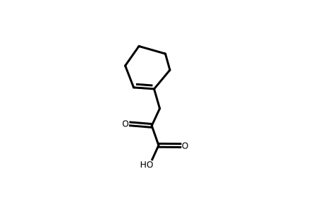 O=C(O)C(=O)CC1=CCCCC1